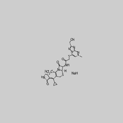 Cc1cc(SCC(=O)N[C@@H]2C(=O)N3C(C(=O)O)=C(C(=C4CCNC4=O)C4CC4)CS[C@H]23)n2nc(CO)nc2n1.[NaH]